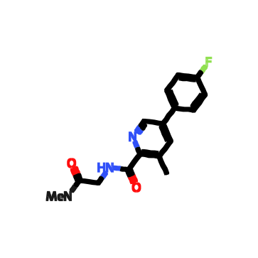 CNC(=O)CNC(=O)c1ncc(-c2ccc(F)cc2)cc1C